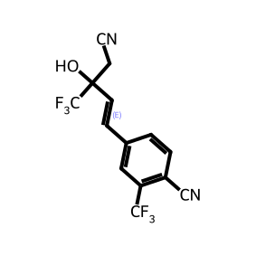 N#CCC(O)(/C=C/c1ccc(C#N)c(C(F)(F)F)c1)C(F)(F)F